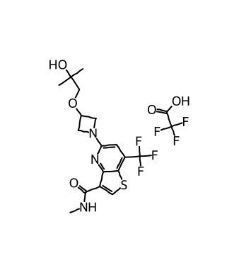 CNC(=O)c1csc2c(C(F)(F)F)cc(N3CC(OCC(C)(C)O)C3)nc12.O=C(O)C(F)(F)F